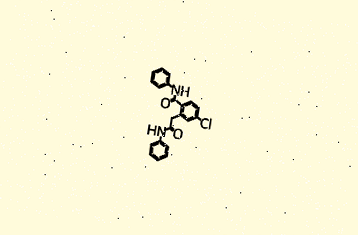 O=C(Cc1cc(Cl)ccc1C(=O)Nc1ccccc1)Nc1ccccc1